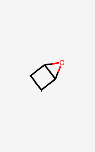 [CH]1CC2OC12